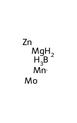 B.[MgH2].[Mn].[Mo].[Zn]